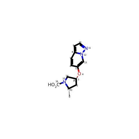 C[C@H]1C[C@@H](Oc2ccc3ccnn3c2)CN1C(=O)O